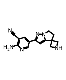 N#Cc1cc(-c2cc3n(n2)CCC32CNC2)cnc1N